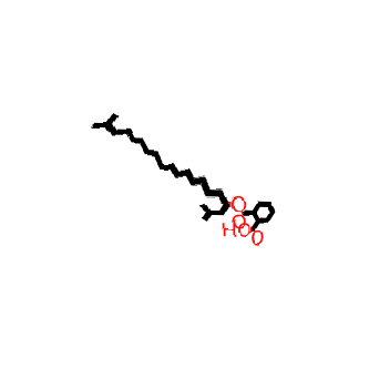 CC(C)CCCCCCCCCCCCCCC(CC(C)C)OC(=O)C1CCCCC1C(=O)O